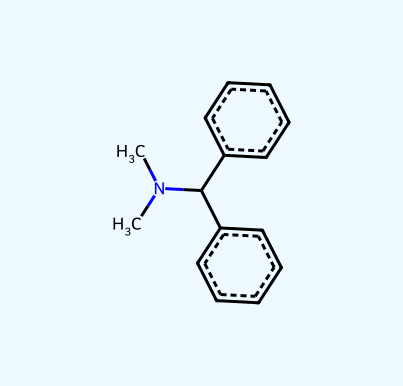 CN(C)C(c1ccccc1)c1ccccc1